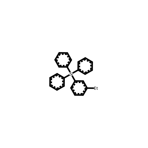 CCc1cccc([Si](c2ccccc2)(c2ccccc2)c2ccccc2)c1